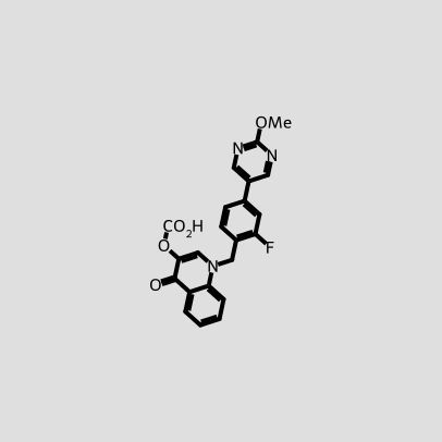 COc1ncc(-c2ccc(Cn3cc(OC(=O)O)c(=O)c4ccccc43)c(F)c2)cn1